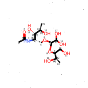 CC(=O)N[C@@H](COC(OC(CO)[C@@H](C)O)C(O)O)[C@H](O)[C@@H](C)O